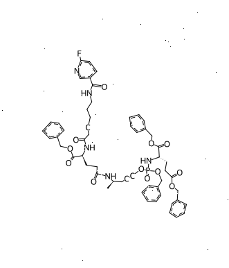 C[C@H](CCCOP(=O)(N[C@@H](CCC(=O)OCc1ccccc1)C(=O)OCc1ccccc1)OCc1ccccc1)NC(=O)CC[C@H](NC(=O)CCCCCNC(=O)c1ccc(F)nc1)C(=O)OCc1ccccc1